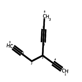 C#CC[C](C#C)C#CC